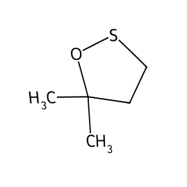 CC1(C)CCSO1